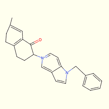 CC1=CC2=C(CC1)CCC([n+]1ccc3c(ccn3Cc3ccccc3)c1)C2=O